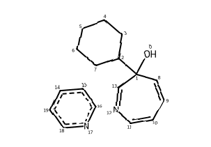 OC1(C2CCCCC2)C=CC=CN=C1.c1ccncc1